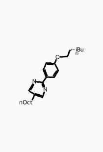 CCCCCCCCc1cnc(-c2ccc(OCC[C@@H](C)CC)cc2)nc1